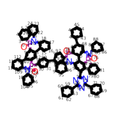 O=P1(c2ccccc2)c2cc3c(cc2-c2ccccc2N1c1ccccc1)P(=O)(c1ccc(-c2ccc(P4(=O)c5cc(-c6ccccc6)cc6c5-c5c(cc(-c7nc(-c8ccccc8)nc(-c8ccccc8)n7)cc5P(=O)(c5ccccc5)N6c5ccccc5)N4c4ccccc4)cc2)cc1)N(c1ccccc1)c1ccccc1-3